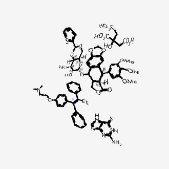 CC/C(=C(\c1ccccc1)c1ccc(OCCN(C)C)cc1)c1ccccc1.COc1cc([C@@H]2c3cc4c(cc3C(O[C@@H]3O[C@@H]5COC(c6cccs6)O[C@H]5[C@H](O)[C@H]3O)C3COC(=O)[C@@H]32)OCO4)cc(OC)c1O.Nc1nc2nc[nH]c2c(=S)[nH]1.O=C(O)CC(O)(CC(=O)O)C(=O)O